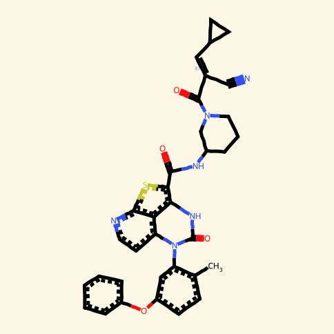 Cc1ccc(Oc2ccccc2)cc1N1C(=O)Nc2c(C(=O)NC3CCCN(C(=O)/C(C#N)=C/C4CC4)C3)sc3nccc1c23